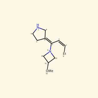 CC/C=C\C(=C1\CCNC1)N1CC(OC)C1